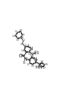 CCN1c2ncc(CCc3ccccc3)cc2C(=O)N(C)c2ccc(-c3ccc[nH]3)nc21